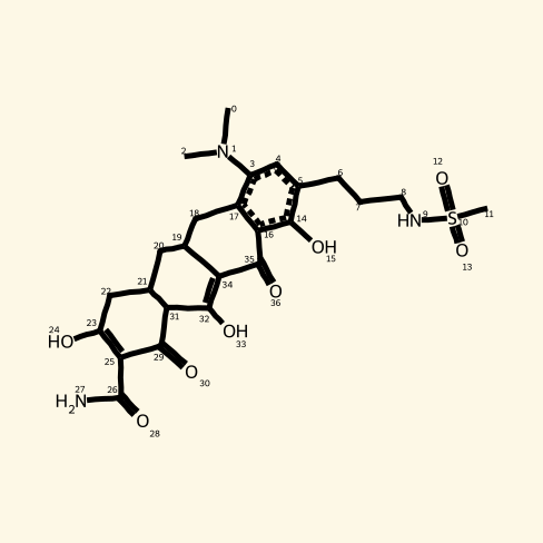 CN(C)c1cc(CCCNS(C)(=O)=O)c(O)c2c1CC1CC3CC(O)=C(C(N)=O)C(=O)C3C(O)=C1C2=O